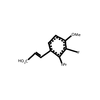 CCCc1c(/C=C/C(=O)O)ccc(OC)c1F